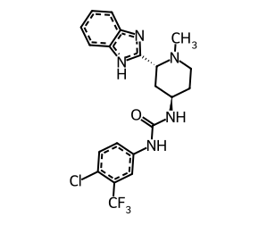 CN1CC[C@@H](NC(=O)Nc2ccc(Cl)c(C(F)(F)F)c2)C[C@@H]1c1nc2ccccc2[nH]1